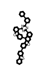 c1ccc(-c2cccc(-c3nc(-c4ccccc4)nc(-c4cccc5oc6ccc(-c7cccc8oc9cc(-c%10ccc%11c(c%10)sc%10ccccc%10%11)ccc9c78)cc6c45)n3)c2)cc1